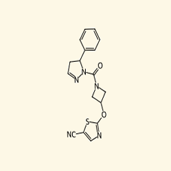 N#Cc1cnc(OC2CN(C(=O)N3N=CCC3c3ccccc3)C2)s1